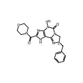 CCCN1C(=O)N2C[C@@H](Cc3ccccc3)N=C2c2[nH]c(C(=O)N3CCOCC3)nc21